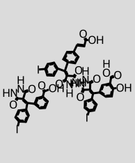 O=C(O)/C=C/c1ccc(C(=C2C(=O)NNC2=O)c2ccc(I)cc2)cc1.O=C1NNC(=O)C1=C(c1ccc(I)cc1)c1ccc(O)c(C(=O)O)c1.O=C1NNC(=O)C1=C(c1ccc(I)cc1)c1cccc(C(=O)O)c1